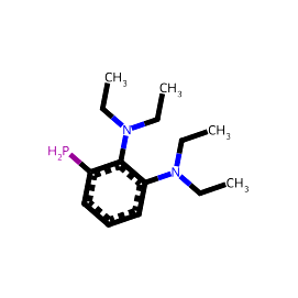 CCN(CC)c1cccc(P)c1N(CC)CC